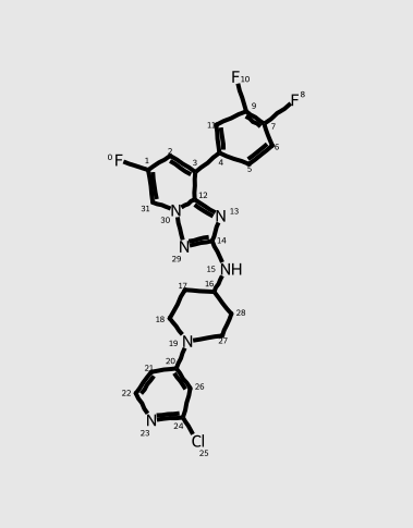 Fc1cc(-c2ccc(F)c(F)c2)c2nc(NC3CCN(c4ccnc(Cl)c4)CC3)nn2c1